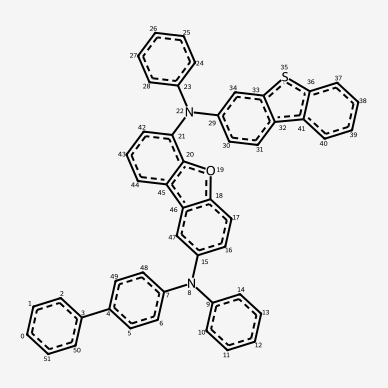 c1ccc(-c2ccc(N(c3ccccc3)c3ccc4oc5c(N(c6ccccc6)c6ccc7c(c6)sc6ccccc67)cccc5c4c3)cc2)cc1